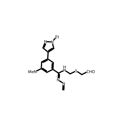 C=N/N=C(\NCSCC=O)c1cc(NC)cc(-c2cnn(CC)c2)c1